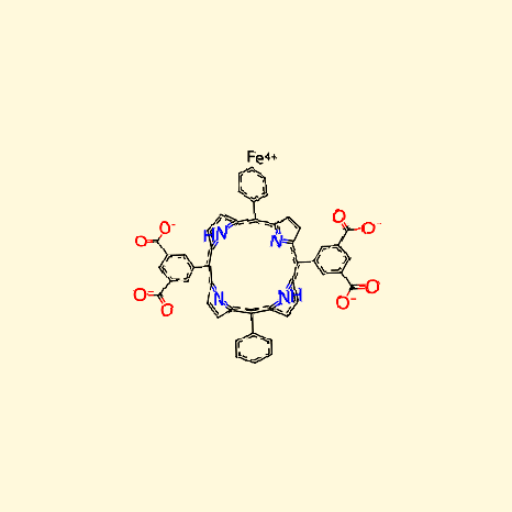 O=C([O-])c1cc(C(=O)[O-])cc(-c2c3nc(c(-c4ccccc4)c4ccc([nH]4)c(-c4cc(C(=O)[O-])cc(C(=O)[O-])c4)c4nc(c(-c5ccccc5)c5ccc2[nH]5)C=C4)C=C3)c1.[Fe+4]